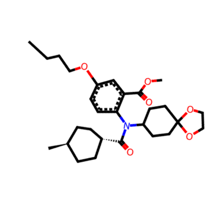 CCCCOc1ccc(N(C(=O)[C@H]2CC[C@H](C)CC2)C2CCC3(CC2)OCCO3)c(C(=O)OC)c1